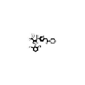 NC(=O)c1nn(-c2c(Cl)cccc2Cl)nc1Nc1ccc(CC(=O)N2CCOCC2)nc1